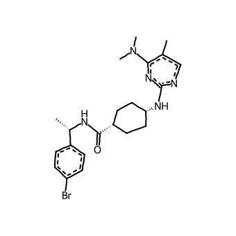 Cc1cnc(N[C@H]2CC[C@@H](C(=O)N[C@@H](C)c3ccc(Br)cc3)CC2)nc1N(C)C